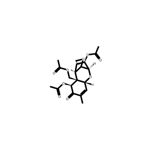 CC(=O)OC[C@]12[C@H](OC(C)=O)C(=O)C(C)=C[C@H]1O[C@@H]1[C@H](OC(C)=O)C[C@@]2(C)[C@]12CO2